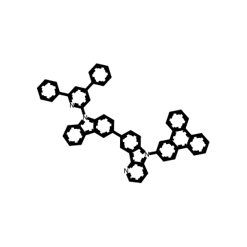 c1ccc(-c2cc(-c3ccccc3)nc(-n3c4ccccc4c4cc(-c5ccc6c(c5)c5ncccc5n6-c5ccc6c7ccccc7c7ccccc7c6c5)ccc43)c2)cc1